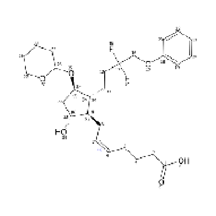 O=C(O)CCC/C=C\C[C@@H]1[C@@H](CCC(F)(F)COc2ccccc2)[C@H](OC2CCCCO2)C[C@H]1O